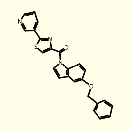 O=C(c1csc(-c2cccnc2)n1)n1ccc2cc(OCc3ccccc3)ccc21